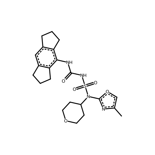 Cc1coc(N(C2CCOCC2)S(=O)(=O)NC(=O)Nc2c3c(cc4c2CCC4)CCC3)n1